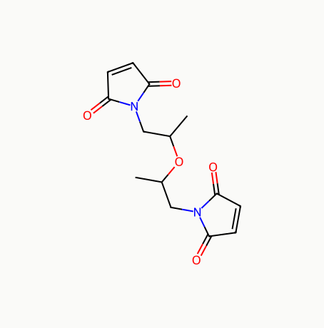 CC(CN1C(=O)C=CC1=O)OC(C)CN1C(=O)C=CC1=O